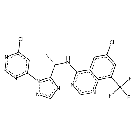 C[C@H](Nc1ncnc2c(C(F)(F)F)cc(Cl)cc12)c1ncnn1-c1cc(Cl)ncn1